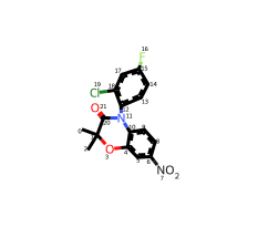 CC1(C)Oc2cc([N+](=O)[O-])ccc2N(c2ccc(F)cc2Cl)C1=O